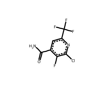 NC(=O)c1cc(C(F)(F)F)nc(Cl)c1F